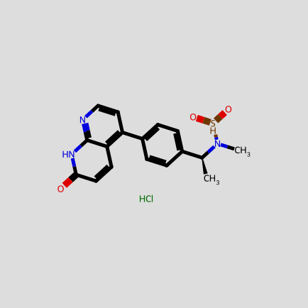 C[C@@H](c1ccc(-c2ccnc3[nH]c(=O)ccc23)cc1)N(C)[SH](=O)=O.Cl